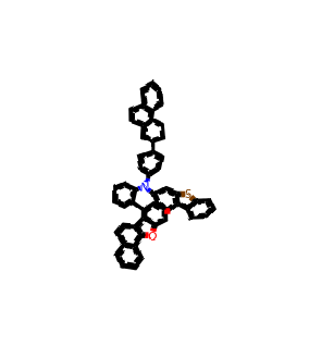 c1ccc(N(c2ccc(-c3ccc4c(ccc5ccccc54)c3)cc2)c2ccc3c(c2)sc2ccccc23)c(-c2cccc3oc4c5ccccc5ccc4c23)c1